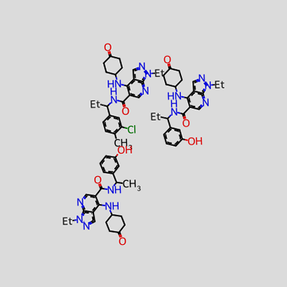 CCC(NC(=O)c1cnc2c(cnn2CC)c1NC1CCC(=O)CC1)c1ccc(C)c(Cl)c1.CCC(NC(=O)c1cnc2c(cnn2CC)c1NC1CCC(=O)CC1)c1cccc(O)c1.CCn1ncc2c(NC3CCC(=O)CC3)c(C(=O)NC(C)c3cccc(O)c3)cnc21